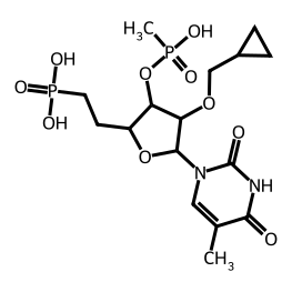 Cc1cn(C2OC(CCP(=O)(O)O)C(OP(C)(=O)O)C2OCC2CC2)c(=O)[nH]c1=O